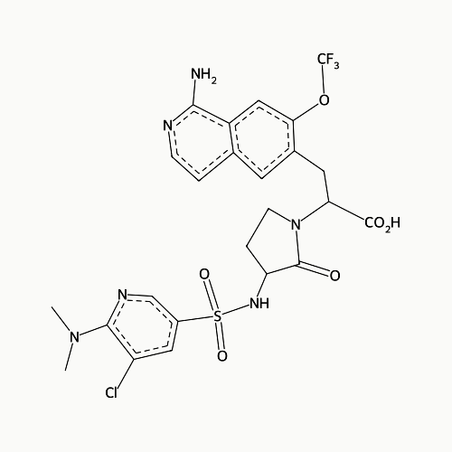 CN(C)c1ncc(S(=O)(=O)NC2CCN(C(Cc3cc4ccnc(N)c4cc3OC(F)(F)F)C(=O)O)C2=O)cc1Cl